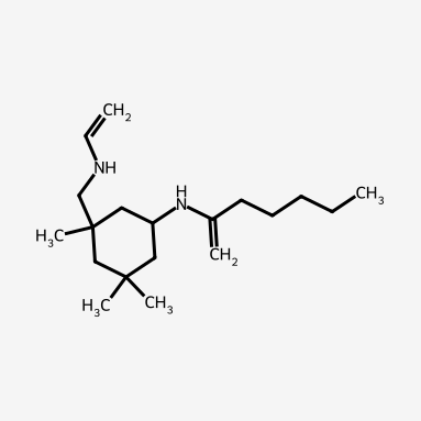 C=CNCC1(C)CC(NC(=C)CCCCC)CC(C)(C)C1